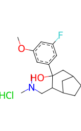 COc1cc(F)cc(C2(O)CC3CCC(C3)C2CN(C)C)c1.Cl